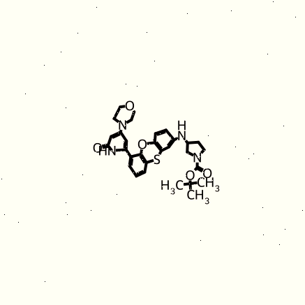 CC(C)(C)OC(=O)N1CCC(Nc2ccc3c(c2)Sc2cccc(-c4cc(N5CCOCC5)cc(=O)[nH]4)c2O3)C1